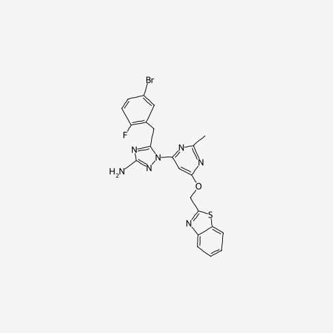 Cc1nc(OCc2nc3ccccc3s2)cc(-n2nc(N)nc2Cc2cc(Br)ccc2F)n1